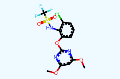 COc1cc(OC)nc(Oc2cccc(Cl)c2NS(=O)(=O)C(F)(F)F)n1